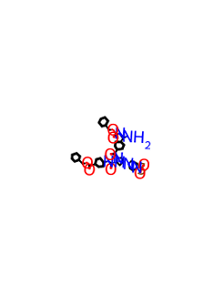 CS(=O)(=O)N1CCN([C@H]2C[C@@H](C(=O)Nc3ccc(C(=O)OCc4ccccc4)cc3)N(C(=O)c3ccc(/C(N)=N\C(=O)OCc4ccccc4)cc3)C2)CC1